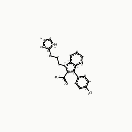 O=C(O)c1c(-c2ccc(Cl)cc2)c2ncccc2n1CCNc1nnc[nH]1